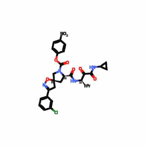 CCC[C@H](NC(=O)[C@@H]1C[C@]2(CC(c3cccc(Cl)c3)=NO2)CN1C(=O)Oc1ccc([N+](=O)[O-])cc1)C(=O)C(=O)NC1CC1